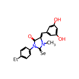 CCc1ccc(N2C(=O)C(=Cc3cc(O)cc(O)c3)N(C)C2=[Se])cc1